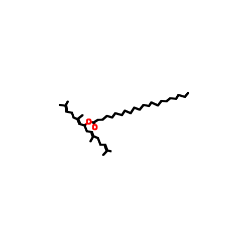 CCCCCCCCCCCCCCCCCCCCCC(=O)OC(/C=C(\C)CCC=C(C)C)C/C=C(\C)CCC=C(C)C